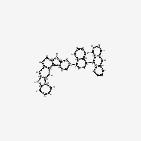 c1ccc2c(-c3ccc(-c4ccc5c(c4)sc4ccc6cc7sc8ccccc8c7cc6c45)c4ccccc34)c3ccccc3cc2c1